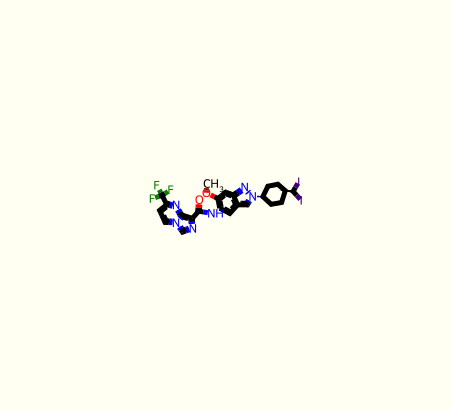 COc1cc2nn([C@H]3CC[C@H](C(I)I)CC3)cc2cc1NC(=O)c1ncn2ccc(C(F)(F)F)nc12